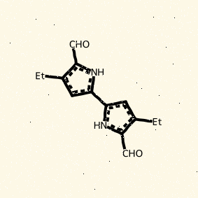 CCc1cc(-c2cc(CC)c(C=O)[nH]2)[nH]c1C=O